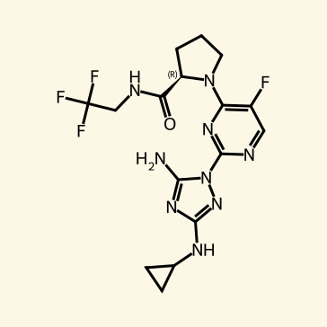 Nc1nc(NC2CC2)nn1-c1ncc(F)c(N2CCC[C@@H]2C(=O)NCC(F)(F)F)n1